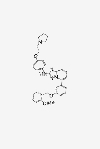 COc1ccccc1COc1cccc(-c2cccc3nc(Nc4ccc(OCCN5CCCC5)cc4)nn23)c1